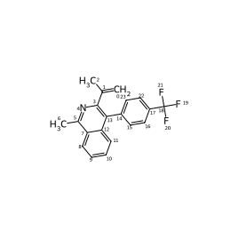 C=C(C)c1nc(C)c2ccccc2c1-c1ccc(C(F)(F)F)cc1